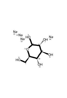 OC[C@H]1OC(O)[C@H](O)[C@@H](O)[C@@H]1O.[Na].[Na].[Na].[Na]